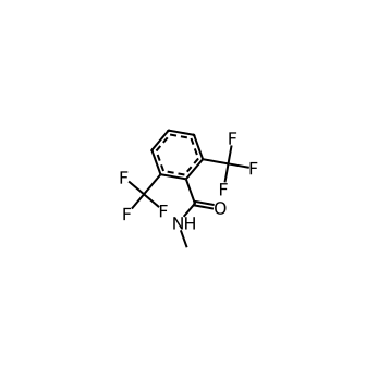 CNC(=O)c1c(C(F)(F)F)cccc1C(F)(F)F